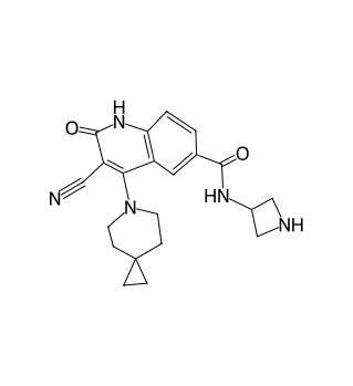 N#Cc1c(N2CCC3(CC2)CC3)c2cc(C(=O)NC3CNC3)ccc2[nH]c1=O